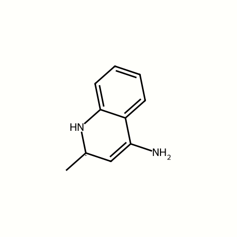 C[C]1C=C(N)c2ccccc2N1